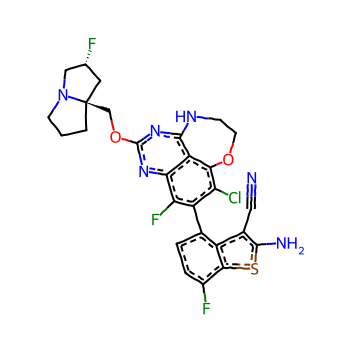 N#Cc1c(N)sc2c(F)ccc(-c3c(Cl)c4c5c(nc(OC[C@@]67CCCN6C[C@H](F)C7)nc5c3F)NCCO4)c12